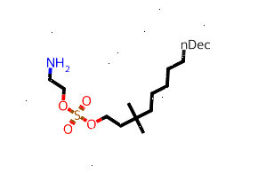 CCCCCCCCCCCCCCCC(C)(C)CCOS(=O)(=O)OCCN